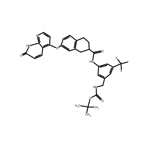 CC(C)(C)OC(=O)NCc1cc(NC(=O)C2CCc3ccc(Oc4ccnc5[nH]c(=O)ccc45)cc3C2)cc(C(F)(F)F)c1